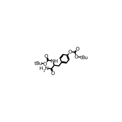 CC(C)(C)OC(=O)NC(Cc1ccc(OC(=O)OC(C)(C)C)cc1)C(N)=O